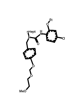 CCCCCCCN(Cc1ccc(OCOCCOC)cc1)C(=O)Nc1ccc(Cl)cc1OCC